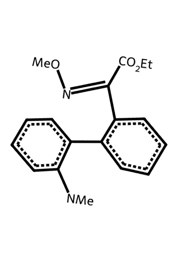 CCOC(=O)C(=NOC)c1ccccc1-c1ccccc1NC